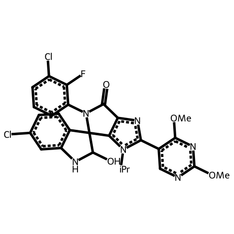 COc1ncc(-c2nc3c(n2C(C)C)C2(c4ccc(Cl)cc4NC2O)N(c2cccc(Cl)c2F)C3=O)c(OC)n1